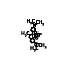 CCN(CC)c1ccc(CC(C)=C(O[Cl+3]([O-])([O-])[O-])c2ccc(N(CC)CC)cc2)cc1